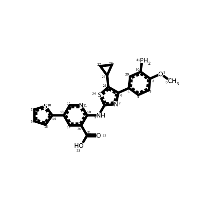 COc1ccc(-c2nc(Nc3ncc(-c4cccs4)cc3C(=O)O)sc2C2CC2)cc1P